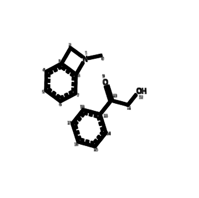 CN1Cc2ccccc21.O=C(CO)c1ccccc1